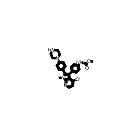 COC(=O)Nc1ccc(-c2c(-c3ccc(N4CCNCC4)cc3)n(C)c3nccc(Cl)c23)cc1